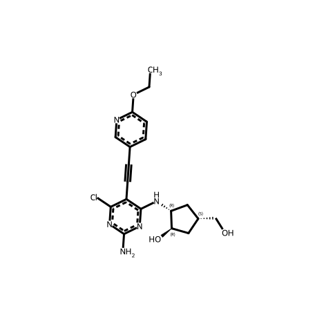 CCOc1ccc(C#Cc2c(Cl)nc(N)nc2N[C@@H]2C[C@H](CO)C[C@H]2O)cn1